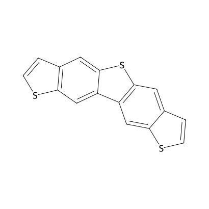 c1cc2cc3sc4cc5ccsc5cc4c3cc2s1